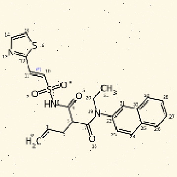 C=CCC(C(=O)NS(=O)(=O)/C=C/c1nccs1)C(=O)N(CC)c1ccc2ccccc2c1